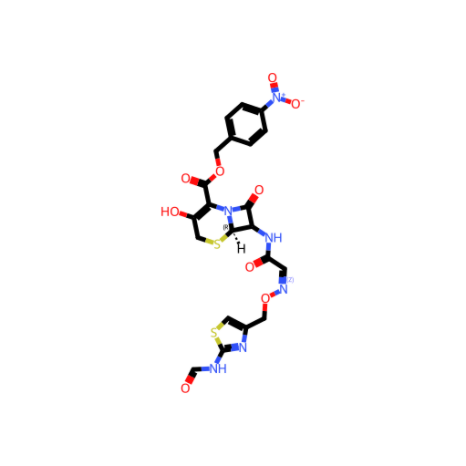 O=CNc1nc(CO/N=C\C(=O)NC2C(=O)N3C(C(=O)OCc4ccc([N+](=O)[O-])cc4)=C(O)CS[C@H]23)cs1